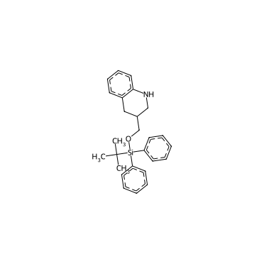 CC(C)(C)[Si](OCC1CNc2ccccc2C1)(c1ccccc1)c1ccccc1